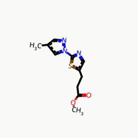 COC(=O)CCc1cnc(-n2cc(C)cn2)s1